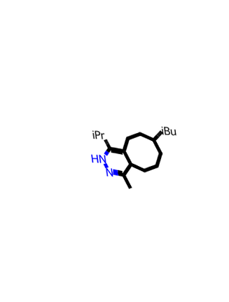 CCC(C)C1CCCC2C(C)=NNC(C(C)C)=C2CC1